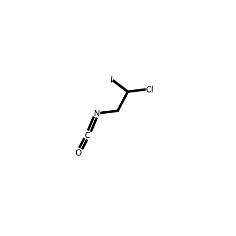 O=C=NCC(Cl)I